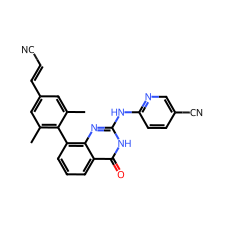 Cc1cc(C=CC#N)cc(C)c1-c1cccc2c(=O)[nH]c(Nc3ccc(C#N)cn3)nc12